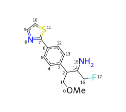 COCC(c1ccc(-c2nccs2)cc1)C(N)CF